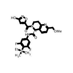 CC[Si](C)(C)c1c(F)cc(NC(=O)[C@H]2c3ccc(COC)nc3CCN2C(=O)c2cc(O)no2)cc1F